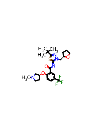 CN1CC[C@H](Oc2ccc(C(F)(F)F)cc2C(=O)N=c2sc(C(C)(C)C)nn2C[C@H]2CCCO2)C1